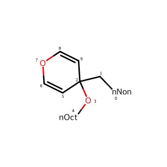 CCCCCCCCCCC1(OCCCCCCCC)C=COC=C1